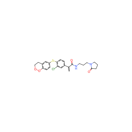 C=C(C(=O)NCCCN1CCCC1=O)c1ccc(Sc2ccc3c(c2)CCOO3)c(Cl)c1